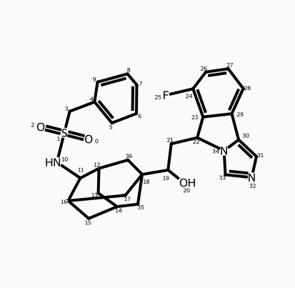 O=S(=O)(Cc1ccccc1)NC1C2CC3CC1CC(C(O)CC1c4c(F)cccc4-c4cncn41)(C3)C2